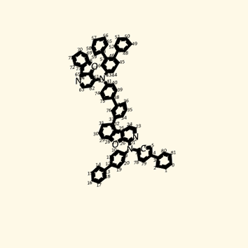 c1ccc(-c2ccc(N(c3ccc(-c4ccccc4)cc3)c3nccc4c3oc3cccc(-c5cccc(-c6ccc(N(c7ccc(-c8ccccc8)c(-c8ccccc8)c7)c7ccnc8c7oc7ccccc78)cc6)c5)c34)cc2)cc1